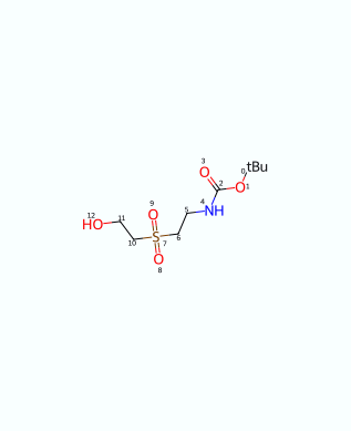 CC(C)(C)OC(=O)NCCS(=O)(=O)CCO